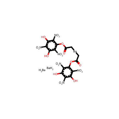 O=C([CH2][Ba][CH2]C(=O)Oc1c([N+](=O)[O-])c(O)c([N+](=O)[O-])c(O)c1[N+](=O)[O-])Oc1c([N+](=O)[O-])c(O)c([N+](=O)[O-])c(O)c1[N+](=O)[O-].[BaH2].[BaH2]